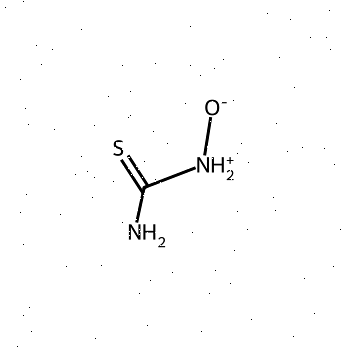 NC(=S)[NH2+][O-]